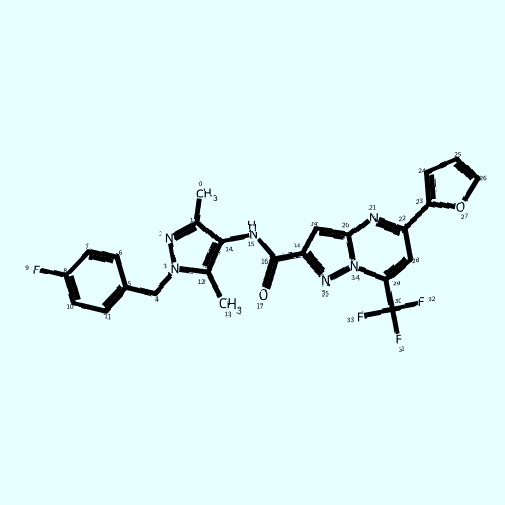 Cc1nn(Cc2ccc(F)cc2)c(C)c1NC(=O)c1cc2nc(-c3ccco3)cc(C(F)(F)F)n2n1